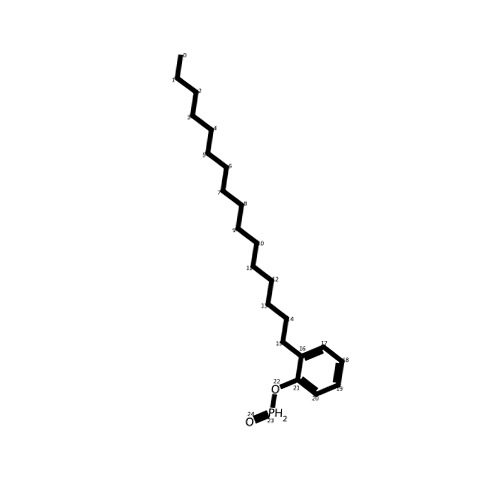 CCCCCCCCCCCCCCCCc1ccccc1O[PH2]=O